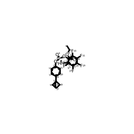 CCOC(=O)[C@H](C)NP(=O)(Oc1ccc(C23CC(C2)C3)cc1)Oc1c(F)c(F)c(F)c(F)c1F